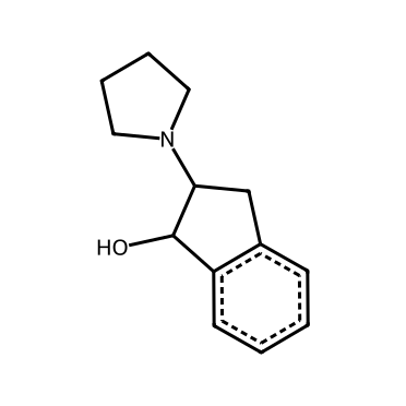 OC1c2ccccc2CC1N1CCCC1